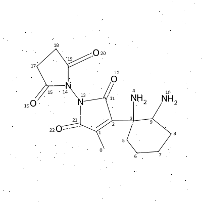 CC1=C(C2(N)CCCCC2N)C(=O)N(N2C(=O)CCC2=O)C1=O